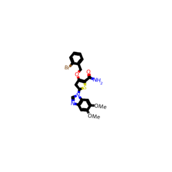 COc1cc2ncn(C3CC(OCc4ccccc4Br)=C(C(N)=O)S3)c2cc1OC